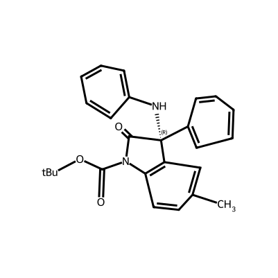 Cc1ccc2c(c1)[C@](Nc1ccccc1)(c1ccccc1)C(=O)N2C(=O)OC(C)(C)C